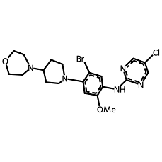 COc1cc(N2CCC(N3CCOCC3)CC2)c(Br)cc1Nc1ncc(Cl)cn1